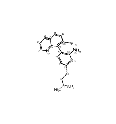 CC(C)CCc1ccc(-c2c(F)ccc3cccnc23)c(N)n1